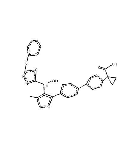 Cc1noc(-c2ccc(-c3ccc(C4(C(=O)O)CC4)cc3)cc2)c1[C@@H](O)c1nnc(Cc2ccccc2)o1